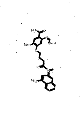 CCCCC/C=N\c1cc(OCCCC(=O)N(C)c2cc(O)c3ccccc3c2)c(OC)cc1C(N)=O